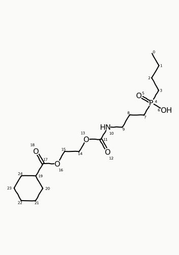 CCCCP(=O)(O)CCCNC(=O)OCCOC(=O)C1CCCCC1